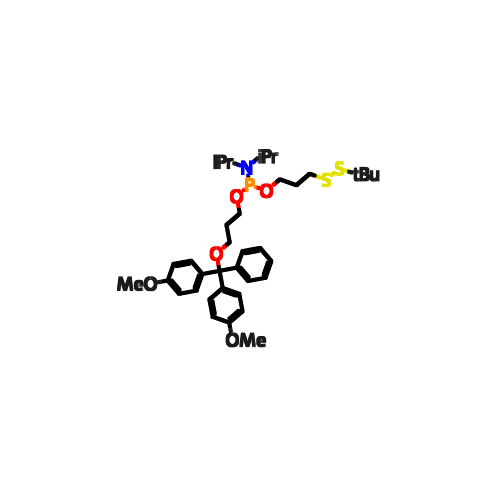 COc1ccc(C(OCCCOP(OCCCSSC(C)(C)C)N(C(C)C)C(C)C)(c2ccccc2)c2ccc(OC)cc2)cc1